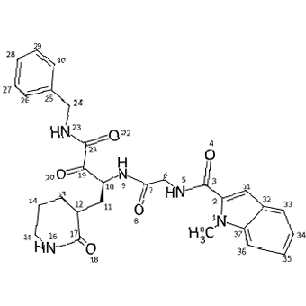 Cn1c(C(=O)NCC(=O)N[C@@H](CC2CCCNC2=O)C(=O)C(=O)NCc2ccccc2)cc2ccccc21